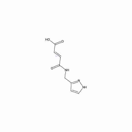 O=C(O)/C=C/C(=O)NCc1cc[nH]n1